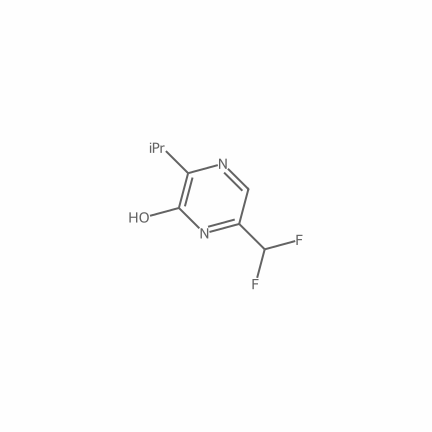 CC(C)c1ncc(C(F)F)nc1O